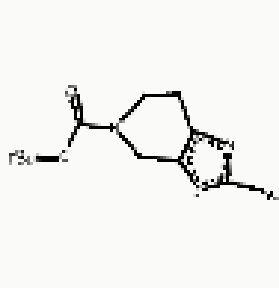 CCCCOC(=O)N1CCc2nc(Br)sc2C1